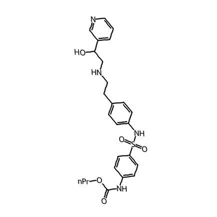 CCCOC(=O)Nc1ccc(S(=O)(=O)Nc2ccc(CCNCC(O)c3cccnc3)cc2)cc1